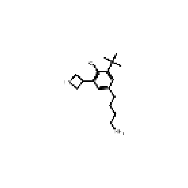 CC(C)(C)c1cc(CCCCN)cc(C2CNC2)c1Cl